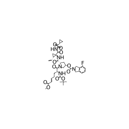 C=C[C@@H]1C[C@]1(NC(=O)[C@@H]1CC(OC(=O)N2Cc3cccc(F)c3C2)CN1C(=O)[C@H](CC/C=C/C(=O)OC)NC(=O)OC(C)(C)C)C(=O)NS(=O)(=O)C1CC1